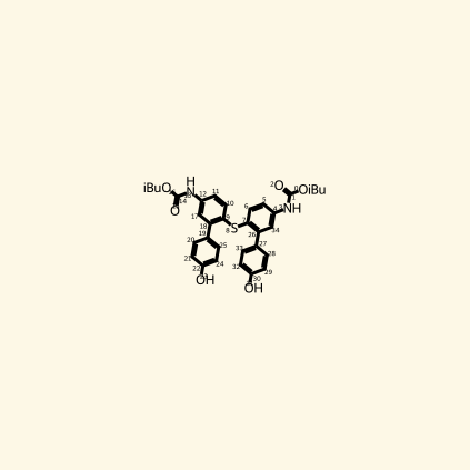 CC(C)COC(=O)Nc1ccc(Sc2ccc(NC(=O)OCC(C)C)cc2-c2ccc(O)cc2)c(-c2ccc(O)cc2)c1